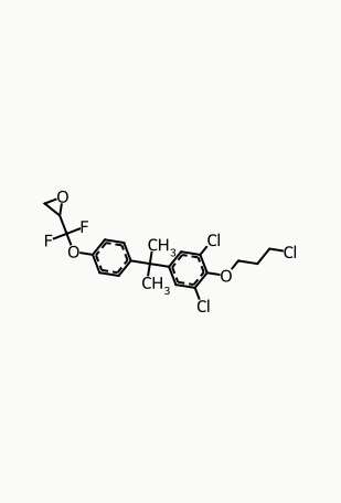 CC(C)(c1ccc(OC(F)(F)C2CO2)cc1)c1cc(Cl)c(OCCCCl)c(Cl)c1